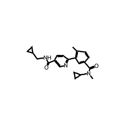 Cc1ccc(C(=O)N(C)C2CC2)cc1-c1ccc(C(=O)NCC2CC2)cn1